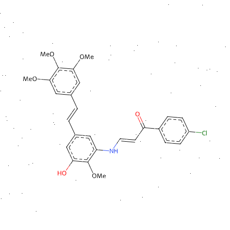 COc1cc(C=Cc2cc(O)c(OC)c(NC=CC(=O)c3ccc(Cl)cc3)c2)cc(OC)c1OC